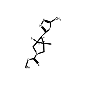 Cc1nnc([C@H]2[C@@H]3CN(C(=O)OC(C)(C)C)C[C@@H]32)o1